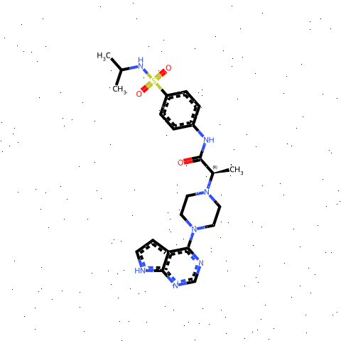 CC(C)NS(=O)(=O)c1ccc(NC(=O)[C@@H](C)N2CCN(c3ncnc4[nH]ccc34)CC2)cc1